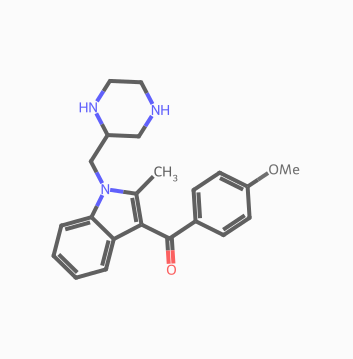 COc1ccc(C(=O)c2c(C)n(CC3CNCCN3)c3ccccc23)cc1